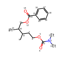 CCN(CC)C(=O)OCCC(C)C(COC(=O)c1ccccc1)C(C)C